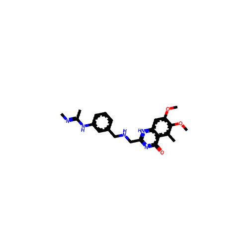 C/N=C(\C)Nc1cccc(CNCc2nc(=O)c3c(C)c(OC)c(OC)cc3[nH]2)c1